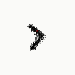 CC[O+](CC)CC.CC[O+](CC)CC.CC[O+](CC)CC.CC[O+](CC)CC.CC[O+](CC)CC.CC[O+](CC)CC.O=[PH]([O-])F.O=[PH]([O-])F.O=[PH]([O-])F.O=[PH]([O-])F.O=[PH]([O-])F.O=[PH]([O-])F